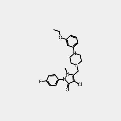 CCOc1cccc(N2CCN(Cc3c(Cl)c(=O)n(-c4ccc(F)cc4)n3C)CC2)c1